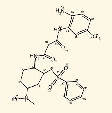 CC(C)N(C)C1CCC(NC(=O)CC(=O)Nc2cc(C(F)(F)F)ccc2N)C(CS(=O)(=O)c2ccccc2)C1